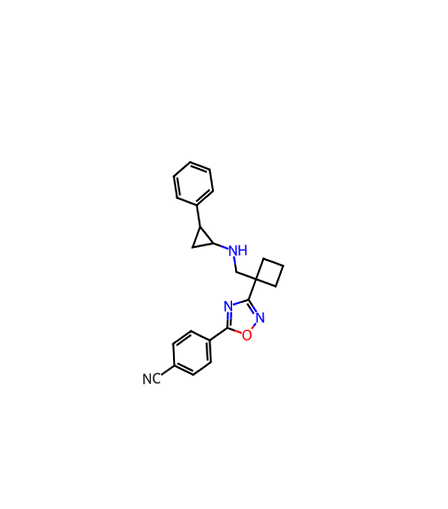 N#Cc1ccc(-c2nc(C3(CNC4CC4c4ccccc4)CCC3)no2)cc1